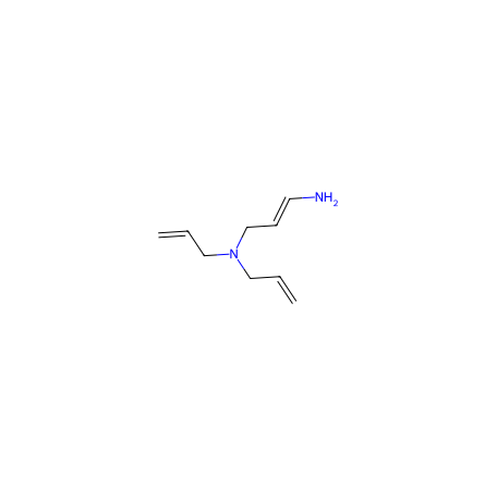 C=CCN(CC=C)CC=CN